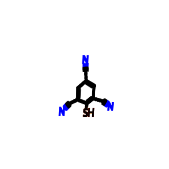 N#Cc1cc(C#N)c(S)c(C#N)c1